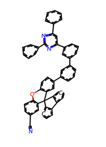 N#Cc1ccc2c(c1)C1(c3cc(-c4cccc(-c5cccc(-c6cc(-c7ccccc7)nc(-c7ccccc7)n6)c5)c4)ccc3O2)c2ccccc2-c2ccccc21